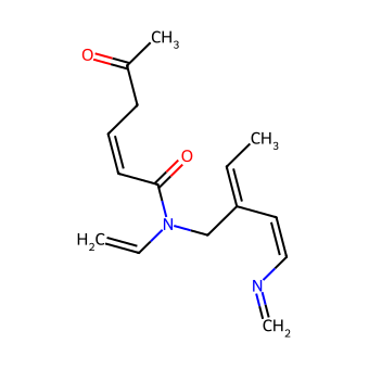 C=CN(CC(/C=C\N=C)=C/C)C(=O)/C=C\CC(C)=O